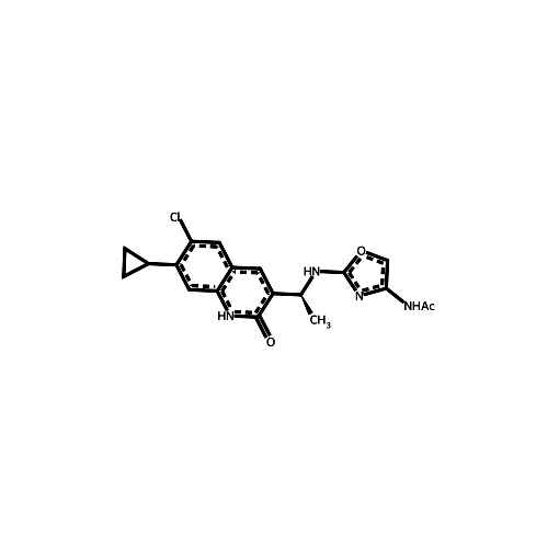 CC(=O)Nc1coc(N[C@@H](C)c2cc3cc(Cl)c(C4CC4)cc3[nH]c2=O)n1